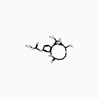 COC(=O)Nc1ccc2c(c1)NC(=O)CCCCC(N)c1nc-2c(C)[nH]1